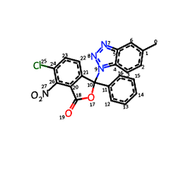 Cc1ccc2c(c1)nnn2C1(c2ccccc2)OC(=O)c2c1ccc(Cl)c2[N+](=O)[O-]